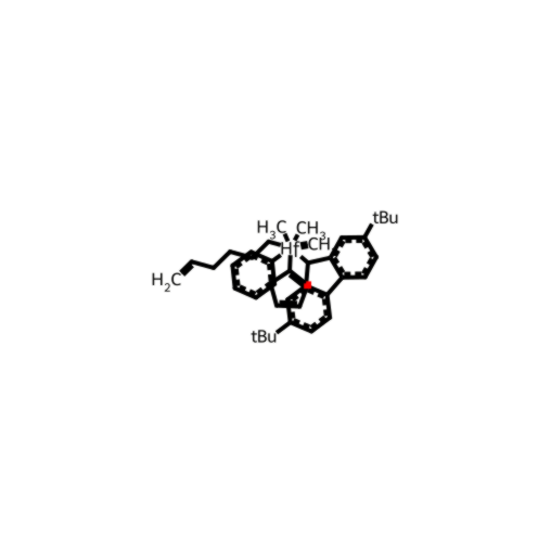 C=CCCC[CH2][Hf](=[CH2])([CH3])([CH3])([C]1=CC=CC1)([c]1ccccc1)[CH]1c2cc(C(C)(C)C)ccc2-c2ccc(C(C)(C)C)cc21